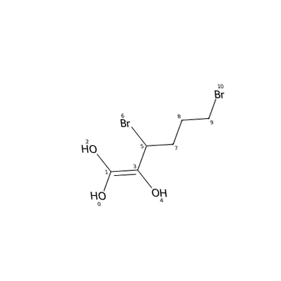 OC(O)=C(O)C(Br)CCCBr